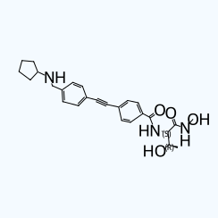 C[C@@H](O)[C@H](NC(=O)c1ccc(C#Cc2ccc(CNC3CCCC3)cc2)cc1)C(=O)NO